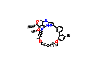 CCc1ccc2c(c1)-c1cccc(c1)-c1cc3nc(C)c([C@H](OC(C)(C)C)C(=O)OC)c(n3n1)N1CCC(C)(CC1)OCCCC[C@H](C)O2